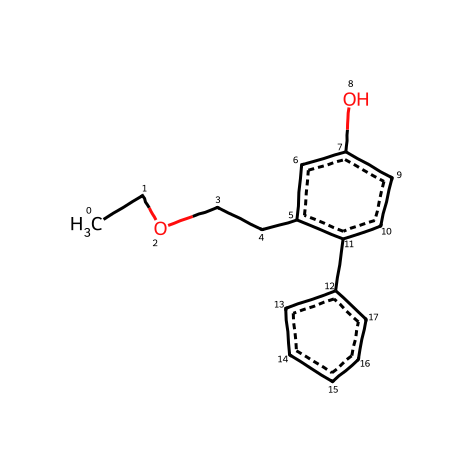 CCOCCc1cc(O)ccc1-c1ccccc1